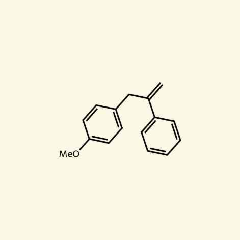 C=C(Cc1ccc(OC)cc1)c1ccccc1